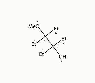 CCC(O)(CC)C(CC)(CC)OC